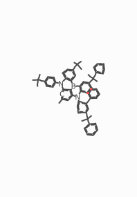 Cc1cc2c3c(c1)N(c1ccc(C(C)(C)c4ccccc4)cc1-c1ccccc1)c1ccc(C(C)(C)c4ccccc4)cc1B3c1cc(C(C)(C)C)ccc1N2c1ccc(C(C)(C)C)cc1